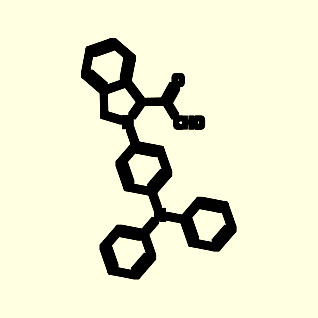 O=CC(=O)C1c2ccccc2CN1c1ccc(N(c2ccccc2)c2ccccc2)cc1